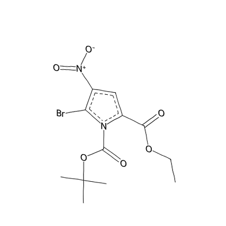 CCOC(=O)c1cc([N+](=O)[O-])c(Br)n1C(=O)OC(C)(C)C